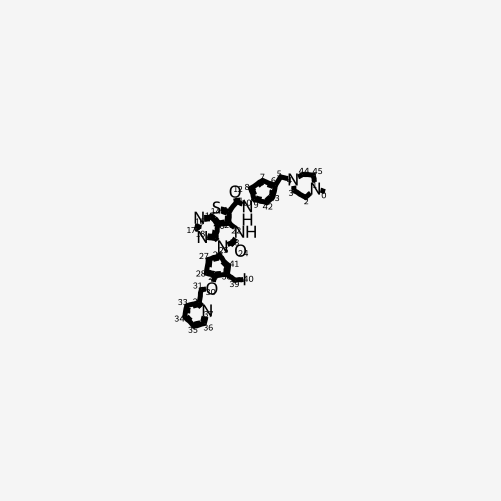 CN1CCN(Cc2ccc(NC(=O)c3sc4ncnc5c4c3NC(=O)N5c3ccc(OCc4ccccn4)c(CI)c3)cc2)CC1